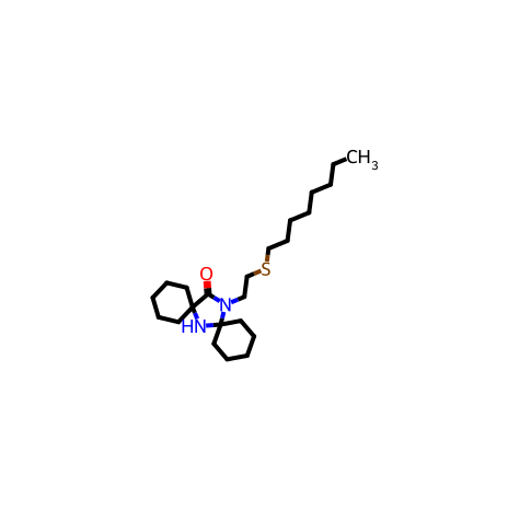 CCCCCCCCSCCN1C(=O)C2(CCCCC2)NC12CCCCC2